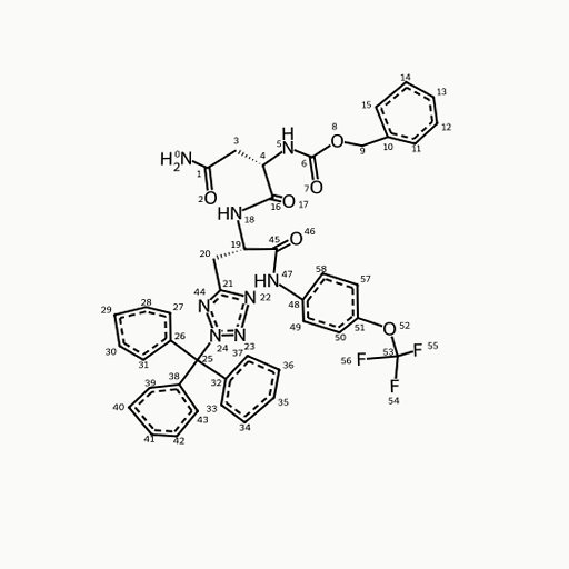 NC(=O)C[C@H](NC(=O)OCc1ccccc1)C(=O)N[C@@H](Cc1nnn(C(c2ccccc2)(c2ccccc2)c2ccccc2)n1)C(=O)Nc1ccc(OC(F)(F)F)cc1